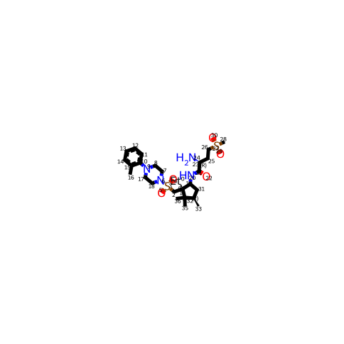 CC[C@]1(CS(=O)(=O)N2CCN(c3ccccc3C)CC2)C(NC(=O)[C@H](N)CCS(C)(=O)=O)C[C@@H](C)C1(C)C